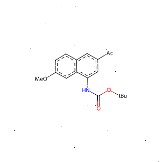 COc1ccc2cc(C(C)=O)cc(NC(=O)OC(C)(C)C)c2c1